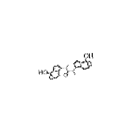 CC(C(=O)C(C)c1ccc2c(O)occc1-2)c1ccc2c(O)occc1-2